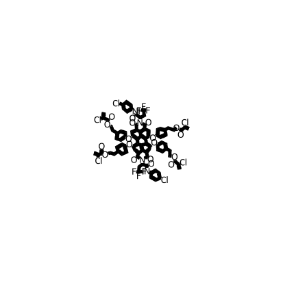 C=C(Cl)C(=O)OCCc1ccc(Oc2cc3c4c(cc(Oc5ccc(CCOC(=O)C(=C)Cl)cc5)c5c6c(Oc7ccc(CCOC(=O)C(=C)Cl)cc7)cc7c8c(cc(Oc9ccc(CCOC(=O)C(=C)Cl)cc9)c(c2c45)c86)C(=O)N(C(CC(F)(F)F)C(=O)Nc2ccc(Cl)cc2)C7=O)C(=O)N(C(CC(F)(F)F)C(=O)Nc2ccc(Cl)cc2)C3=O)cc1